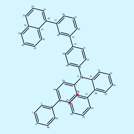 c1ccc(-c2ccc(N(c3ccc(-c4cccc(-c5cccc6ccccc56)c4)cc3)c3ccccc3-c3ccccc3)cc2)cc1